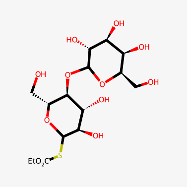 CCOC(=O)SC1O[C@H](CO)[C@@H](OC2O[C@H](CO)[C@H](O)[C@H](O)[C@H]2O)[C@H](O)[C@H]1O